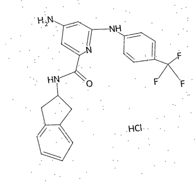 Cl.Nc1cc(Nc2ccc(C(F)(F)F)cc2)nc(C(=O)NC2Cc3ccccc3C2)c1